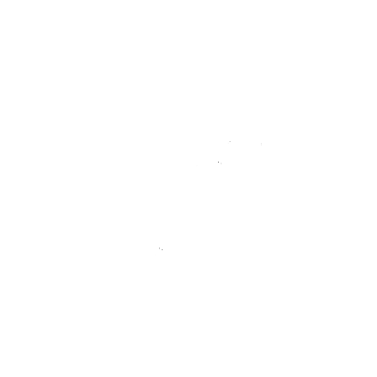 CCOc1cc2c(cc1N)CCN(C(=O)C(F)(F)F)C2(C)C